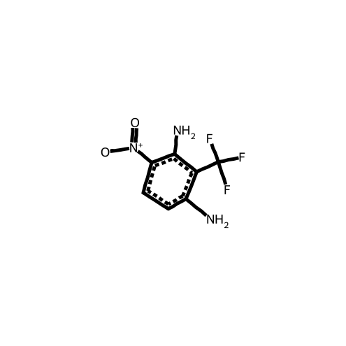 Nc1ccc([N+](=O)[O-])c(N)c1C(F)(F)F